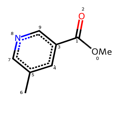 COC(=O)c1[c]c(C)cnc1